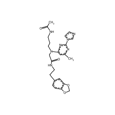 CC(=O)NCCCN(CC(=O)NCCc1ccc2c(c1)OCO2)c1cc(C)nc(-n2ccnc2)n1